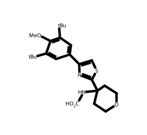 COc1c(C(C)(C)C)cc(-c2csc(C3(NC(=O)O)CCOCC3)n2)cc1C(C)(C)C